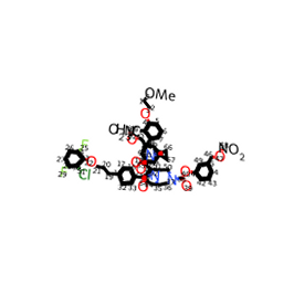 COCCOc1cccc(CN(C(=O)C2=C(c3ccc(CCCOc4c(F)ccc(F)c4Cl)cc3)CC3CN(C(=O)Oc4cccc(CO[N+](=O)[O-])c4)CC2N3C(=O)Oc2cccc(CO[N+](=O)[O-])c2)C2CC2)c1C